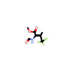 COC(=O)/C(NC=O)=C(\C)C(F)(F)F